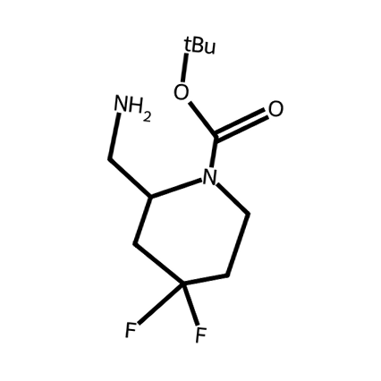 CC(C)(C)OC(=O)N1CCC(F)(F)CC1CN